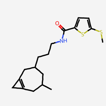 CSc1ccc(C(=O)NCCCC2CC3=C(C3)CC(C)C2)s1